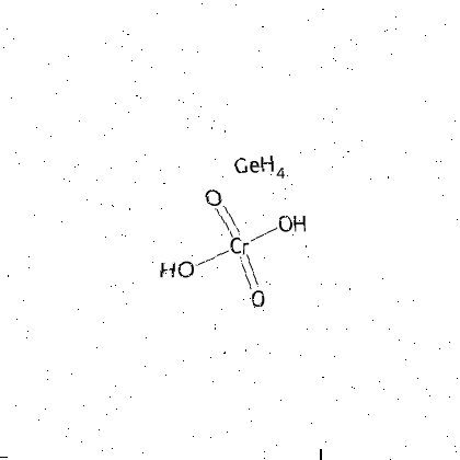 [GeH4].[O]=[Cr](=[O])([OH])[OH]